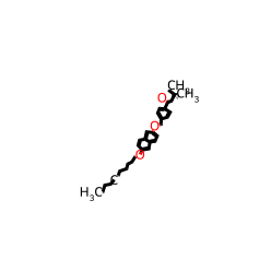 CCCCCCCCCCCOc1ccc2cc(OCc3ccc(C(=O)C[C@H](C)CC)cc3)ccc2c1